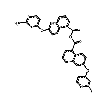 Nc1nccc(Oc2ccc3c(C(=O)OC(=O)c4cccc5cc(Oc6ccnc(F)n6)ccc45)cccc3c2)n1